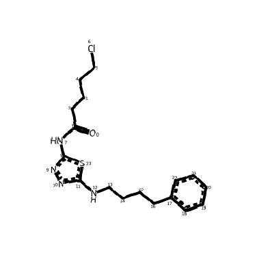 O=C(CCCCCl)Nc1nnc(NCCCCc2ccccc2)s1